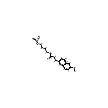 COc1ccc2cc(CCC(=O)OCCCCO[N+](=O)[O-])ccc2c1